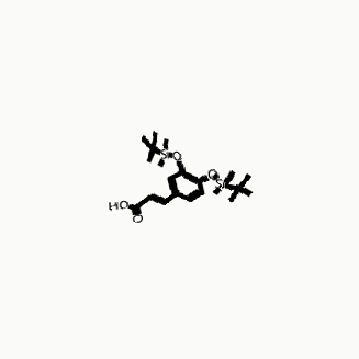 CC(C)(C)[Si](C)(C)Oc1ccc(/C=C/C(=O)O)cc1O[Si](C)(C)C(C)(C)C